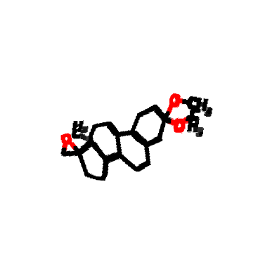 COC1(OC)CCC2=C(CCC3C2=CC[C@@]2(C)C3CCC23CO3)C1